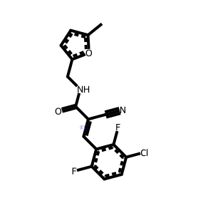 Cc1ccc(CNC(=O)/C(C#N)=C/c2c(F)ccc(Cl)c2F)o1